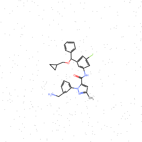 Cc1cc(C(=O)Nc2cc(F)cc(C(OCC3CC3)c3ccccc3)c2)n(-c2cccc(CN)c2)n1